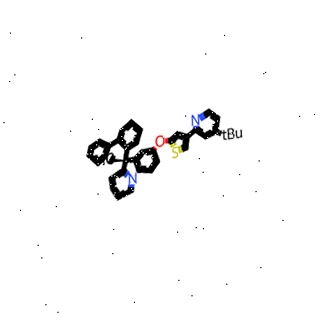 C#C[C@@](c1cccc(Oc2cc(-c3cc(C(C)(C)C)ccn3)cs2)c1)(c1ccccn1)c1ccccc1-c1ccccc1